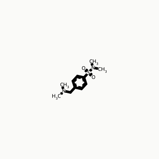 CN(C)Cc1ccc(S(=O)(=O)N(C)C)cc1